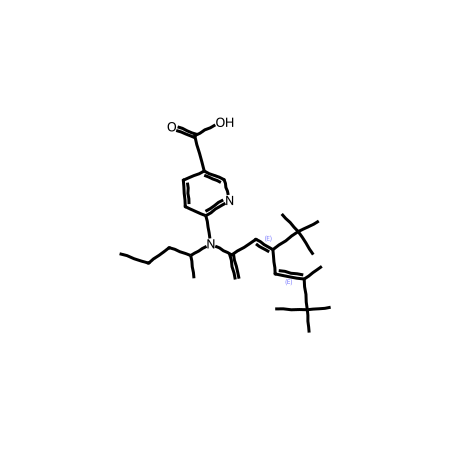 C=C(/C=C(\C=C(/C)C(C)(C)C)C(C)(C)C)N(c1ccc(C(=O)O)cn1)C(C)CCC